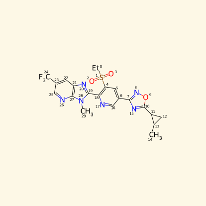 CCS(=O)(=O)c1cc(-c2noc(C3CC3C)n2)cnc1-c1nc2cc(C(F)(F)F)cnc2n1C